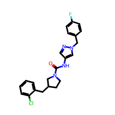 O=C(Nc1cnn(Cc2ccc(F)cc2)c1)N1CCC(Cc2ccccc2Cl)C1